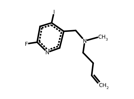 C=CCCN(C)Cc1cnc(F)cc1I